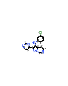 Clc1cccc(Nc2c(-c3ccncn3)nn3cnccc23)c1